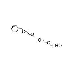 O=CCOCCOCCOCCOCc1ccccc1